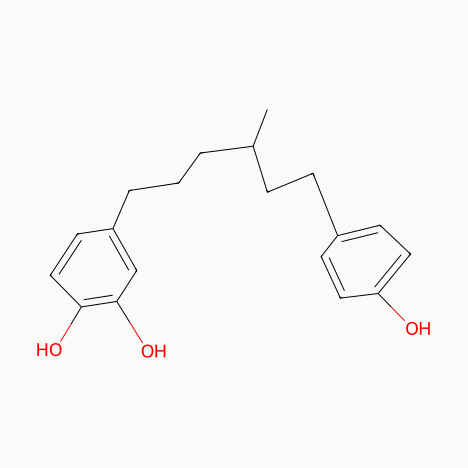 CC(CCCc1ccc(O)c(O)c1)CCc1ccc(O)cc1